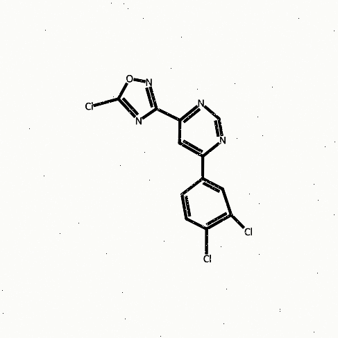 Clc1nc(-c2cc(-c3ccc(Cl)c(Cl)c3)ncn2)no1